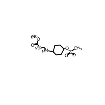 CC(C)(C)OC(=O)NCNC1CCC(OS(C)(=O)=O)CC1